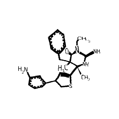 CN1C(=N)N[C@](C)(C2=CC(c3cccc(N)c3)CS2)C(C)(Cc2ccccc2)C1=O